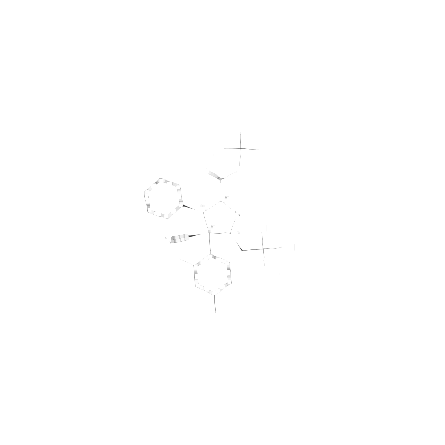 CC(C)(C)C[C@@H]1N[C@@H](C(=O)OC(C)(C)C)[C@H](c2ccccc2)[C@@]1(C#N)c1ccc(Cl)cc1F